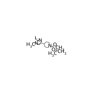 Cn1cc(C2CCN(C(=O)OC(C)(C)C)CC2)nc1I